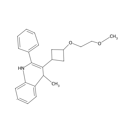 COCCOC1CC(C2=C(c3ccccc3)Nc3c[c]ccc3C2C)C1